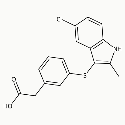 Cc1[nH]c2ccc(Cl)cc2c1Sc1cccc(CC(=O)O)c1